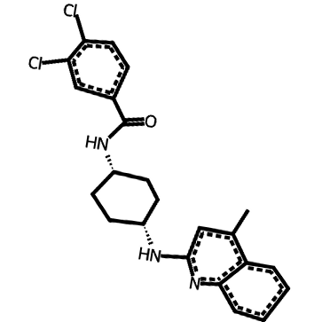 Cc1cc(N[C@H]2CC[C@@H](NC(=O)c3ccc(Cl)c(Cl)c3)CC2)nc2ccccc12